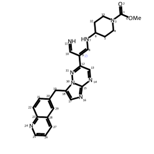 COC(=O)N1CCC(N/C=C(\C=N)c2cnc3ncc(Cc4ccc5ncccc5c4)n3n2)CC1